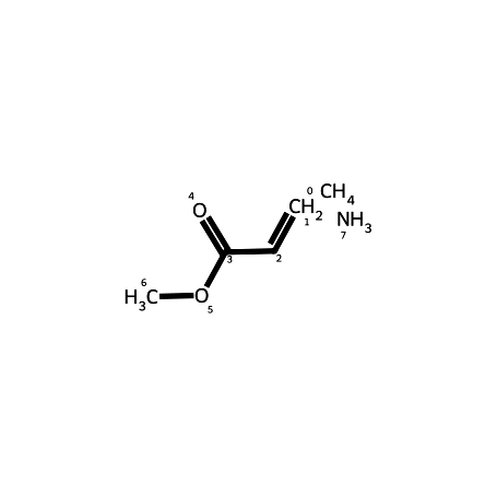 C.C=CC(=O)OC.N